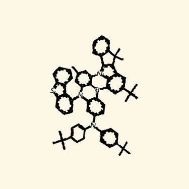 Cc1cc2c3c(c1)-n1c4c(c5cc(C(C)(C)C)cc(c51)B3c1ccc(N(C3=CC=C(C(C)(C)C)CC3)c3ccc(C(C)(C)C)cc3)cc1N2c1cccc2sc3ccccc3c12)C(C)(C)c1ccccc1-4